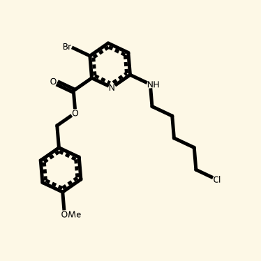 COc1ccc(COC(=O)c2nc(NCCCCCCl)ccc2Br)cc1